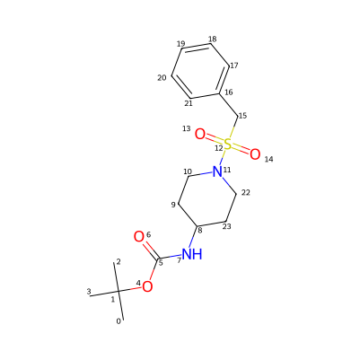 CC(C)(C)OC(=O)NC1CCN(S(=O)(=O)Cc2ccccc2)CC1